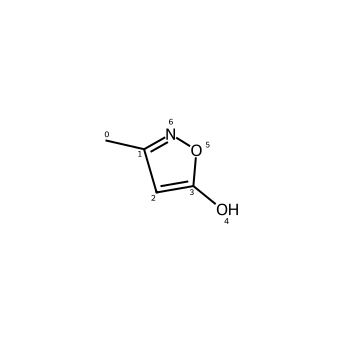 Cc1cc(O)on1